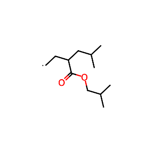 [CH2]CC(CC(C)C)C(=O)OCC(C)C